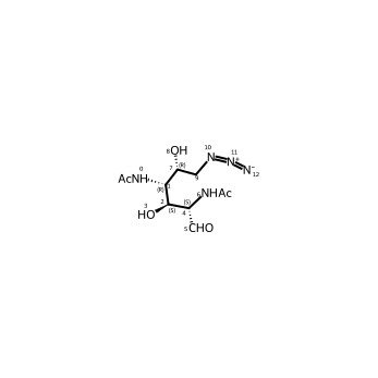 CC(=O)N[C@@H]([C@H](O)[C@@H](C=O)NC(C)=O)[C@H](O)CN=[N+]=[N-]